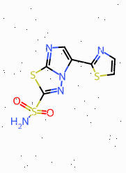 NS(=O)(=O)c1nn2c(-c3nccs3)cnc2s1